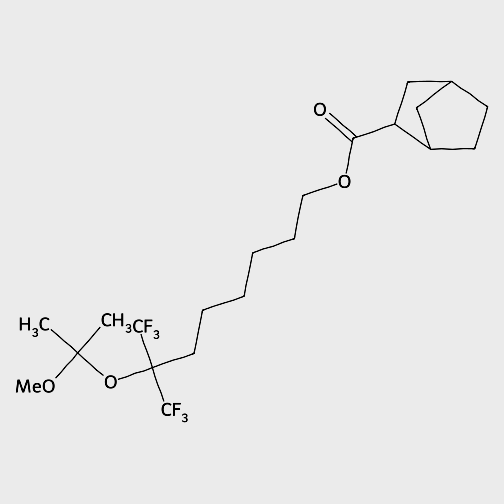 COC(C)(C)OC(CCCCCCOC(=O)C1CC2CCC1C2)(C(F)(F)F)C(F)(F)F